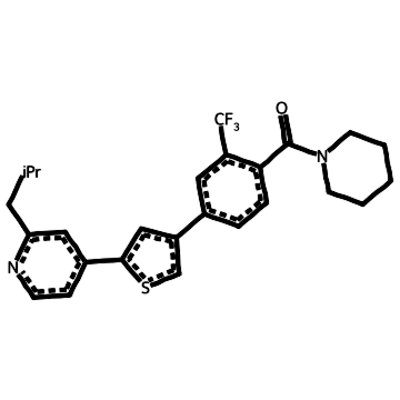 CC(C)Cc1cc(-c2cc(-c3ccc(C(=O)N4CCCCC4)c(C(F)(F)F)c3)cs2)ccn1